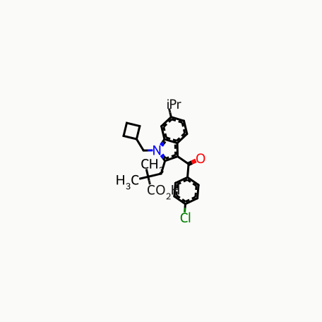 CC(C)c1ccc2c(C(=O)c3ccc(Cl)cc3)c(CC(C)(C)C(=O)O)n(CC3CCC3)c2c1